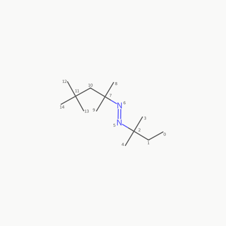 CCC(C)(C)N=NC(C)(C)CC(C)(C)C